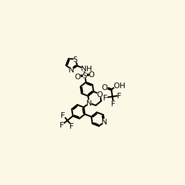 O=C(O)C(F)(F)F.O=S(=O)(Nc1nccs1)c1ccc2c(c1)OCCN2c1ccc(C(F)(F)F)cc1-c1ccncc1